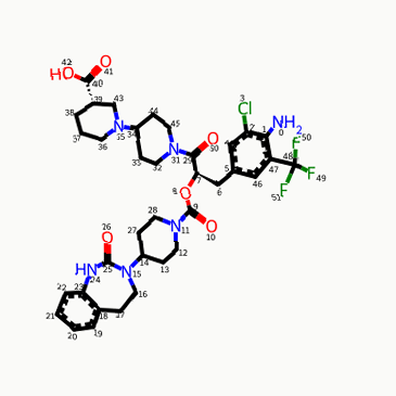 Nc1c(Cl)cc(C[C@@H](OC(=O)N2CCC(N3CCc4ccccc4NC3=O)CC2)C(=O)N2CCC(N3CCC[C@H](C(=O)O)C3)CC2)cc1C(F)(F)F